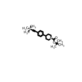 CC(C)(C)OC(=O)N1CCC(c2ccc(C#C[Si](C)(C)C)cc2)CC1